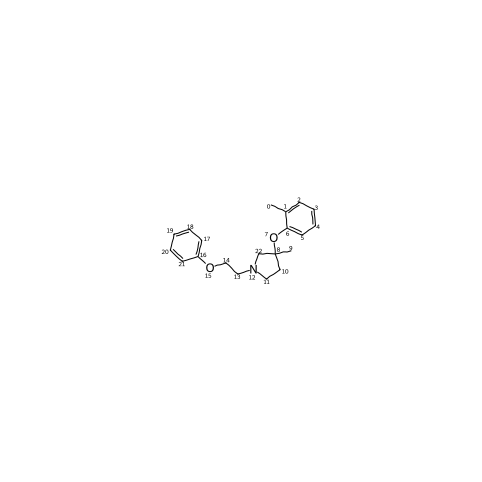 Cc1ccccc1OC1(C)CCN(CCOc2ccccc2)C1